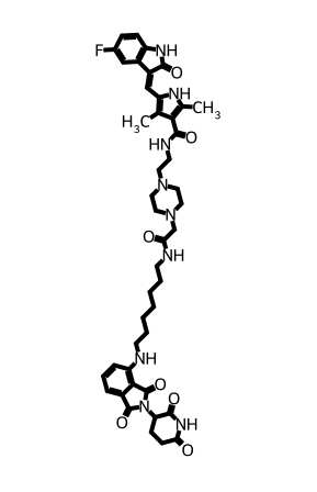 Cc1[nH]c(/C=C2\C(=O)Nc3ccc(F)cc32)c(C)c1C(=O)NCCN1CCN(CC(=O)NCCCCCCCNc2cccc3c2C(=O)N(C2CCC(=O)NC2=O)C3=O)CC1